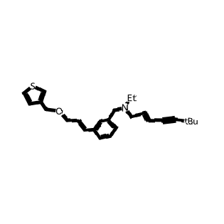 CCN(CC=CC#CC(C)(C)C)Cc1cccc(C=CCOCc2ccsc2)c1